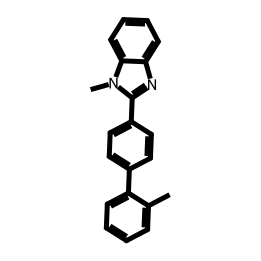 Cc1ccccc1-c1ccc(-c2nc3ccccc3n2C)cc1